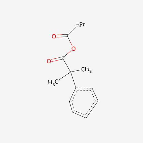 CCCC(=O)OC(=O)C(C)(C)c1ccccc1